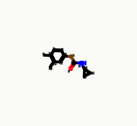 Cc1ccc(SC(=O)NC2CC2)cc1C